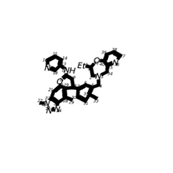 CCC1CN(Cc2cc(C(CC(=O)Nc3cccnc3)c3ccc4c(nnn4C)c3C)ccc2C)Cc2ncccc2O1